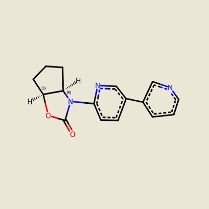 O=C1O[C@H]2CCC[C@H]2N1c1ccc(-c2cccnc2)cn1